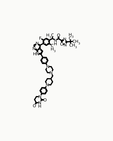 Cc1cc(-c2ncnc3[nH]c(-c4ccc(N5CCN(CC6CCN(c7ccc(N8CCC(=O)NC8=O)cc7)CC6)CC5)cc4)cc23)c(F)cc1C(C)NC(=O)c1nc(C(C)(C)C)no1